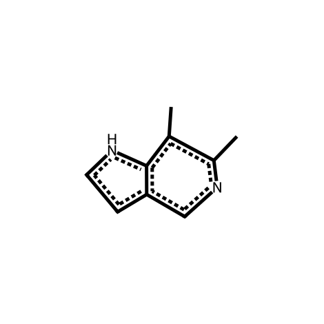 Cc1ncc2cc[nH]c2c1C